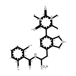 Cc1c(-c2ccc(CC(NC(=O)c3c(F)cccc3F)C(=O)O)c3c2COC3)c(=O)n(C)c(=O)n1C